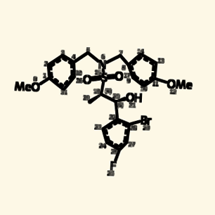 COc1ccc(CN(Cc2ccc(OC)cc2)S(=O)(=O)[C@H](C)[C@@H](O)c2ccc(F)cc2Br)cc1